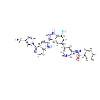 Cc1cn(-c2nccc3[nH]c(-c4n[nH]c5c(F)cc(-c6cncc(NC(=O)c7ccccc7)c6)cc45)nc23)cn1